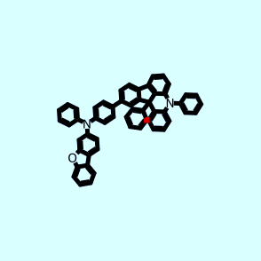 c1ccc(N(c2ccc(-c3ccc4c(c3)C3(c5ccccc5)c5ccccc5N(c5ccccc5)c5cccc-4c53)cc2)c2ccc3c(c2)oc2ccccc23)cc1